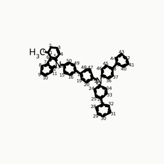 CC1CC=Cc2c1c1ccccc1n2-c1ccc(-c2ccc(N(c3ccc(-c4ccccc4)cc3)c3ccc(-c4ccccc4)cc3)cc2)cc1